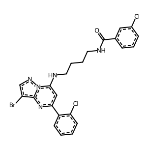 O=C(NCCCCNc1cc(-c2ccccc2Cl)nc2c(Br)cnn12)c1cccc(Cl)c1